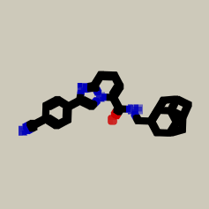 N#Cc1ccc(-c2cn3c(C(=O)NCC45CC6CC7CC(C4)C7(C6)C5)cccc3n2)cc1